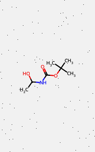 [CH2]C(O)NC(=O)OC(C)(C)C